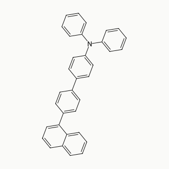 c1ccc(N(c2ccccc2)c2ccc(-c3ccc(-c4cccc5ccccc45)cc3)cc2)cc1